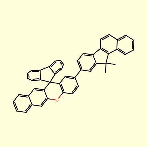 CC1(C)c2cc(-c3ccc4c(c3)C3(c5cc6ccccc6cc5O4)c4ccccc4-c4ccccc43)ccc2-c2ccc3ccccc3c21